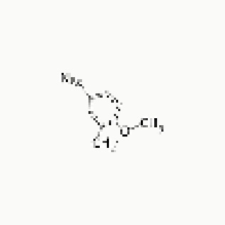 [CH2]c1cc(C#N)ccc1OC